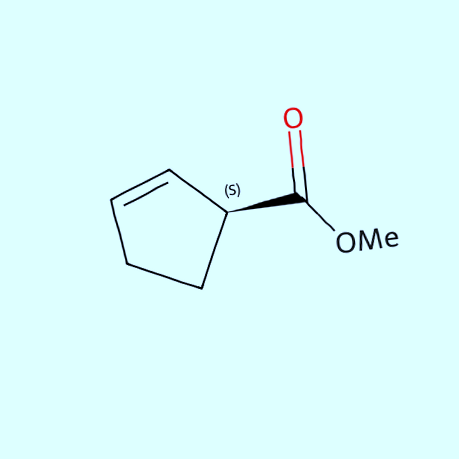 COC(=O)[C@@H]1C=CCC1